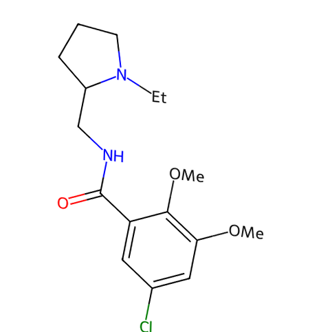 CCN1CCCC1CNC(=O)c1cc(Cl)cc(OC)c1OC